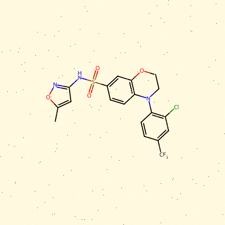 Cc1cc(NS(=O)(=O)c2ccc3c(c2)OCCN3c2ccc(C(F)(F)F)cc2Cl)no1